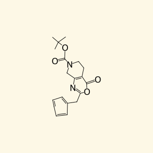 CC(C)(C)OC(=O)N1CCc2c(nc(Cc3ccccc3)oc2=O)C1